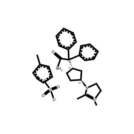 CC1=[N+](C)CCN1[C@H]1CC[C@H](C(C(N)=O)(c2ccccc2)c2ccccc2)C1.Cc1ccc(S(=O)(=O)[O-])cc1